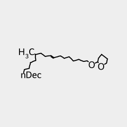 CCCCCCCCCCCCCCC(C)CCC=CCCCCCCCOC1CCCCO1